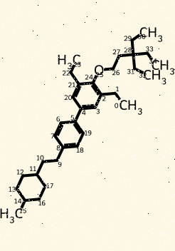 CCc1cc(-c2ccc(CCC3CCC(C)CC3)cc2)cc(CC)c1OCCC(CC)(CC)CC